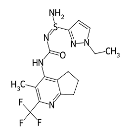 CCn1ccc(/S(N)=N\C(=O)Nc2c(C)c(C(F)(F)F)nc3c2CCC3)n1